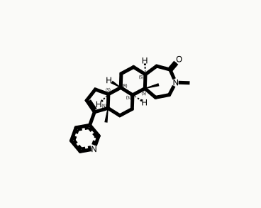 CN1CC[C@@]2(C)[C@@H](CC[C@@H]3[C@@H]2CC[C@]2(C)C(c4cccnc4)=CC[C@@H]32)CC1=O